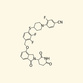 N#Cc1ccc(N2CCC(Sc3ccc(COc4cccc5c4CN(C4CCC(=O)NC4=O)C5=O)c(F)c3F)CC2)c(F)c1